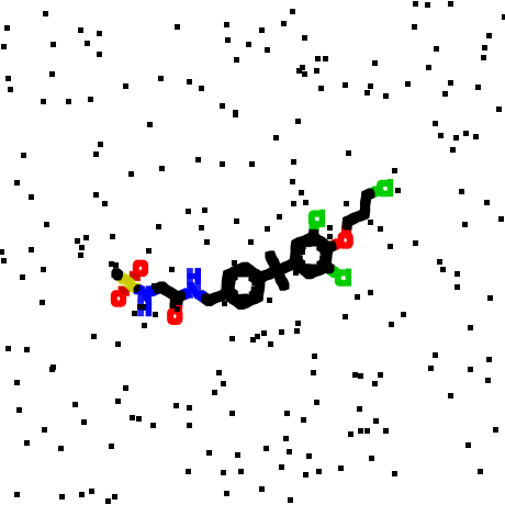 CC(C)(c1ccc(CNC(=O)CNS(C)(=O)=O)cc1)c1cc(Cl)c(OCCCCl)c(Cl)c1